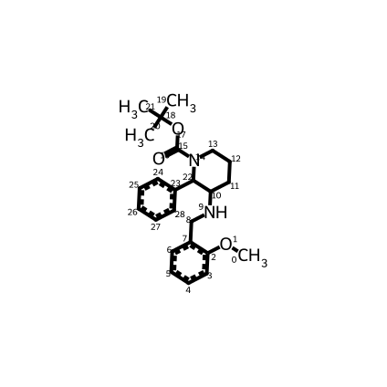 COc1ccccc1CNC1CCCN(C(=O)OC(C)(C)C)C1c1ccccc1